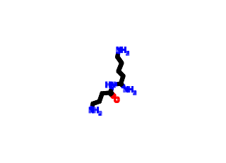 NCCCCC(N)NC(=O)CCCN